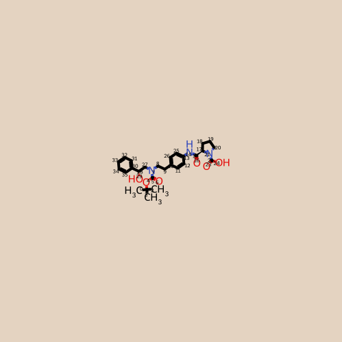 CC(C)(C)OC(=O)N(CCc1ccc(NC(=O)[C@H]2CCCN2C(=O)O)cc1)C[C@H](O)c1ccccc1